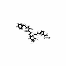 COC(=O)c1ccc(CCCN2C(=O)C(F)(F)CC2C=C[C@@H](O)[C@H](C)CCCc2ccccc2)s1